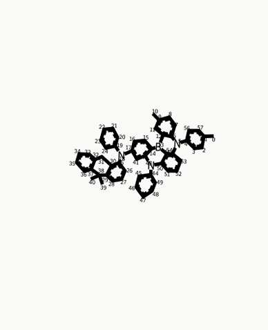 Cc1ccc(N2c3ccc(C)cc3B3c4ccc(N(c5ccccc5)c5cccc6c5Cc5ccccc5C6(C)C)cc4N(c4ccccc4)c4cccc2c43)cc1